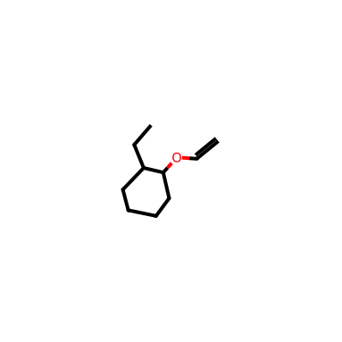 C=COC1CCCCC1CC